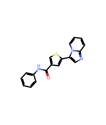 O=C(Nc1ccccc1)c1csc(-c2cnc3ccccn23)c1